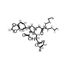 CCCCN(CCCC)C(=O)CN1C[C@H](c2ccc3c(c2)OCO3)[C@@H](C(=O)O)[C@@H]1CCc1ncc(C)o1